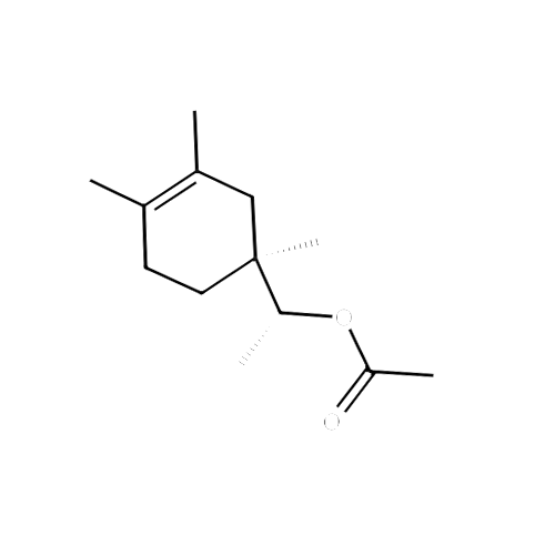 CC(=O)O[C@H](C)[C@@]1(C)CCC(C)=C(C)C1